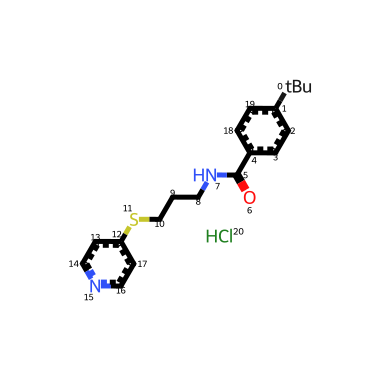 CC(C)(C)c1ccc(C(=O)NCCCSc2ccncc2)cc1.Cl